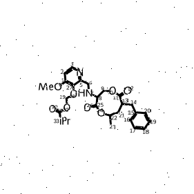 COc1ccnc(CNC2COC(=O)C(Cc3ccccc3)[CH]C(C)OC2=O)c1OCOC(=O)C(C)C